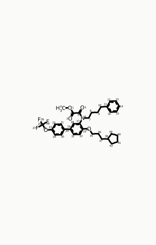 COC(=O)C(=O)N(CCCCc1ccccc1)c1cc(-c2ccc(OC(F)(F)F)cc2)ccc1OCCCC1CCCC1